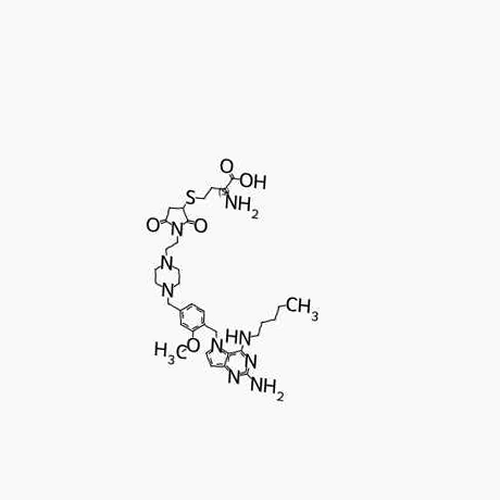 CCCCCNc1nc(N)nc2ccn(Cc3ccc(CN4CCN(CCN5C(=O)CC(SCC[C@H](N)C(=O)O)C5=O)CC4)cc3OC)c12